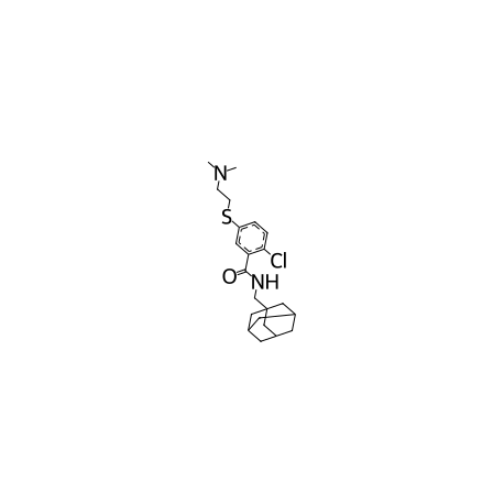 CN(C)CCSc1ccc(Cl)c(C(=O)NCC23CC4CC(CC(C4)C2)C3)c1